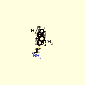 CC1C[C@@H]2[C@@H](CC[C@]3(C)C(=O)CC[C@@H]23)[C@@]2(C)CCC(SCCCN)CC12